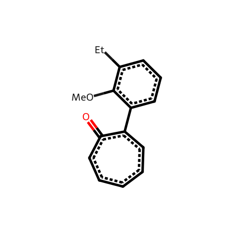 CCc1cccc(-c2cccccc2=O)c1OC